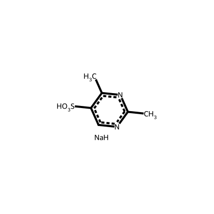 Cc1ncc(S(=O)(=O)O)c(C)n1.[NaH]